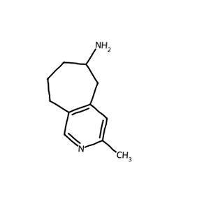 Cc1cc2c(cn1)CCCC(N)C2